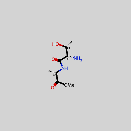 COC(=O)[C@H](C)NC(=O)[C@@H](N)[C@@H](C)O